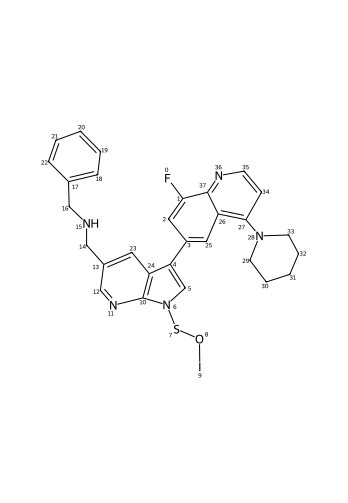 Fc1cc(-c2cn(SOI)c3ncc(CNCc4ccccc4)cc23)cc2c(N3CCCCC3)ccnc12